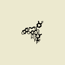 Cc1cc(C(F)(F)F)nc(N2NC(=O)CC2C(=O)N(CCCN2CC3COCC3C2)c2ccc(F)c(C)c2)n1